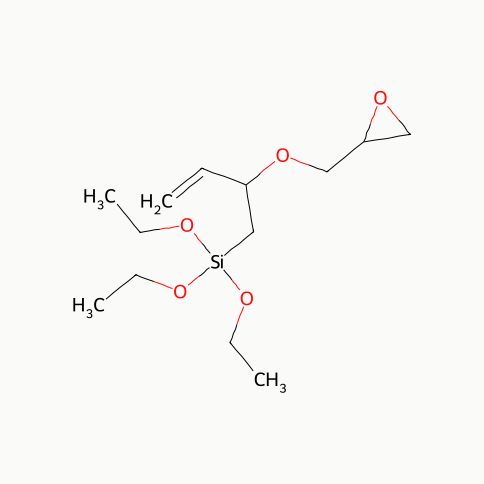 C=CC(C[Si](OCC)(OCC)OCC)OCC1CO1